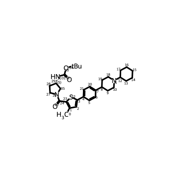 Cc1cc(-c2ccc(C3CCN(C4CCCCC4)CC3)cc2)sc1C(=O)N1CC[C@H](NC(=O)OC(C)(C)C)C1